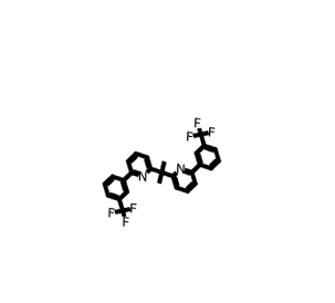 CC(C)(c1cccc(-c2cccc(C(F)(F)F)c2)n1)c1cccc(-c2cccc(C(F)(F)F)c2)n1